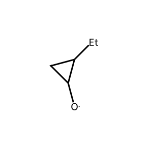 CCC1CC1[O]